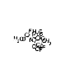 COc1ccc(F)c(C(=O)c2ncc(C(=O)OC(=O)C(F)(F)F)c3cc(OC)c(OC)cc23)c1